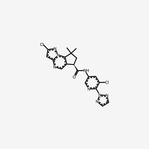 CC1(C)C[C@@H](C(=O)Nc2cnc(-n3nccn3)c(Cl)c2)c2cnc3cc(Cl)nn3c21